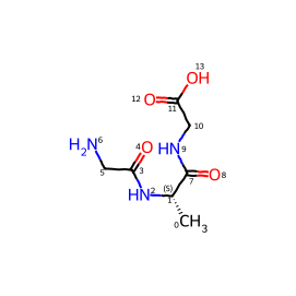 C[C@H](NC(=O)CN)C(=O)NCC(=O)O